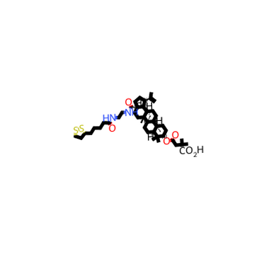 C=C(C)[C@@H]1CC[C@]2(C(=O)NCCNC(=O)CCCCC3CCSS3)CC[C@]3(C)[C@H](CC[C@@H]4[C@@]5(C)CC[C@H](OC(=O)CC(C)(C)C(=O)O)C(C)(C)[C@@H]5CC[C@]43C)[C@@H]12